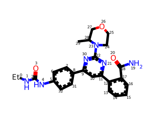 CCNC(=O)Nc1ccc(-c2cc(-c3ccccc3C(N)=O)nc(N3CCOCC3C)n2)cc1